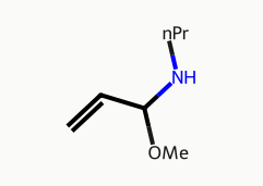 C=CC(NCCC)OC